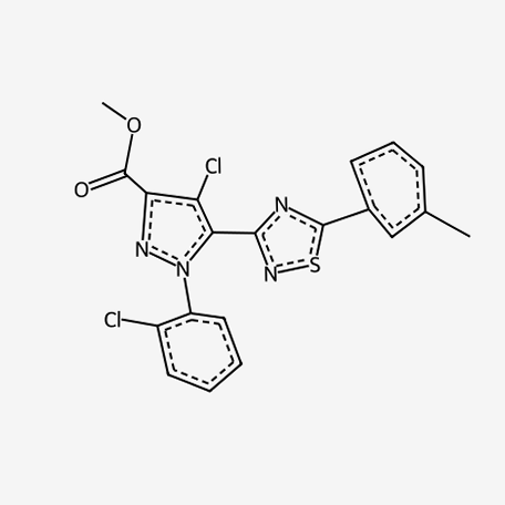 COC(=O)c1nn(-c2ccccc2Cl)c(-c2nsc(-c3cccc(C)c3)n2)c1Cl